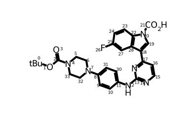 CC(C)(C)OC(=O)N1CCN(c2ccc(Nc3nccc(-c4cn(C(=O)O)c5ccc(F)cc45)n3)cc2)CC1